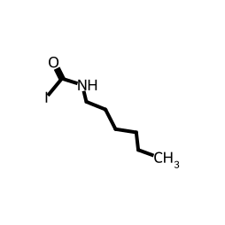 CCCCCCNC(=O)I